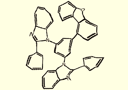 c1ccc(-c2nc3ccccc3n2-c2cc(-c3cccc4oc5ccccc5c34)cc(-n3c(-c4ccccc4)nc4ccccc43)c2)cc1